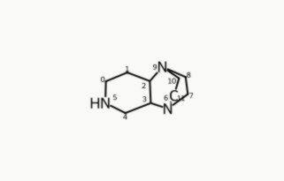 C1CC2C(CN1)N1CCN2CC1